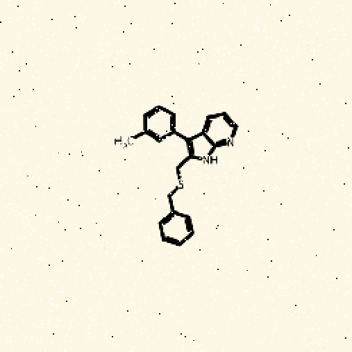 Cc1cccc(-c2c(CSCc3ccccc3)[nH]c3ncccc23)c1